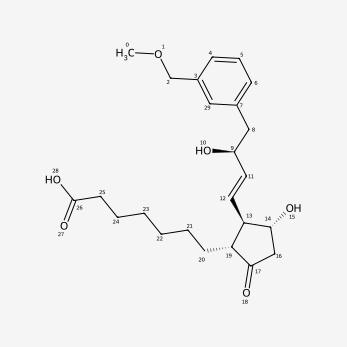 COCc1cccc(C[C@H](O)C=C[C@H]2[C@H](O)CC(=O)[C@@H]2CCCCCCC(=O)O)c1